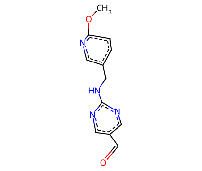 COc1ccc(CNc2ncc(C=O)cn2)cn1